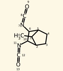 CC1C2CCC1C(N=C=O)C2N=C=O